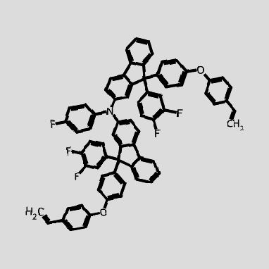 C=Cc1ccc(Oc2ccc(C3(c4ccc(F)c(F)c4)c4ccccc4-c4ccc(N(c5ccc(F)cc5)c5ccc6c(c5)C(c5ccc(Oc7ccc(C=C)cc7)cc5)(c5ccc(F)c(F)c5)c5ccccc5-6)cc43)cc2)cc1